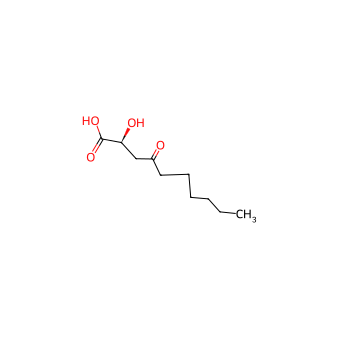 CCCCCCC(=O)C[C@H](O)C(=O)O